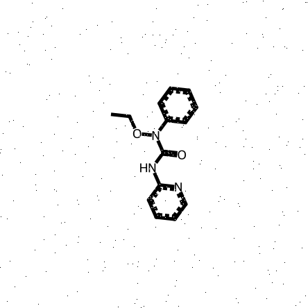 CCON(C(=O)Nc1ccccn1)c1ccccc1